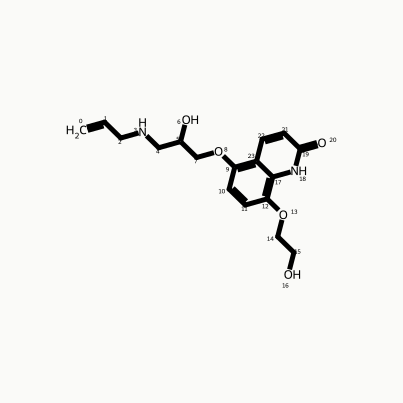 C=CCNCC(O)COc1ccc(OCCO)c2[nH]c(=O)ccc12